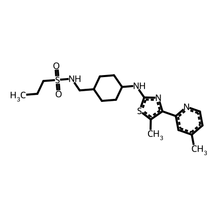 CCCS(=O)(=O)NCC1CCC(Nc2nc(-c3cc(C)ccn3)c(C)s2)CC1